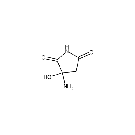 NC1(O)CC(=O)NC1=O